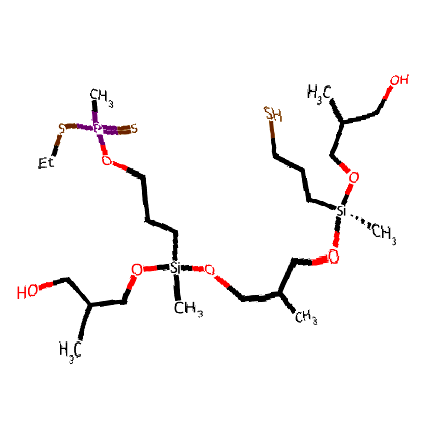 CCSP(C)(=S)OCCC[Si](C)(OCC(C)CO)OCC(C)CO[Si@@](C)(CCCS)OCC(C)CO